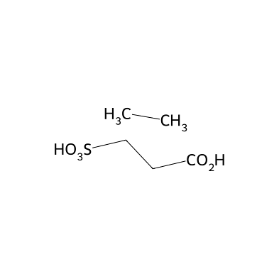 CC.O=C(O)CCS(=O)(=O)O